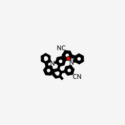 CC1C=CC=C(c2cc(C#N)ccc2-n2c3c(c4ccccc42)C=CCC3)C1c1cc(C#N)cc(-n2c3ccccc3c3cc(C#N)ccc32)c1